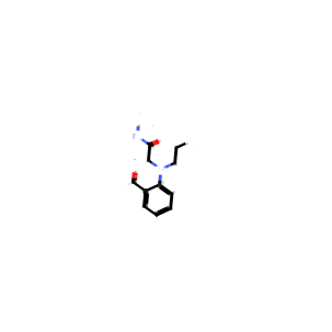 CCCN(CC(=O)NC)c1ccccc1C=O